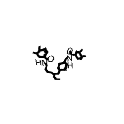 C\C=C/C(=C\C=C/CNC(=O)c1ccc(C)c(C)c1)CC1C=CC(CNC(=O)c2ccc(C)c(C)c2)=CC1